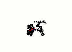 CC1(C)OB(c2cnn(Cc3cccc(O[C@@H]4C[C@@H](OC(=O)NC/C=C(\I)c5cc(NC(c6ccccc6)(c6ccccc6)c6ccccc6)nc6c5nnn6C(c5ccccc5)(c5ccccc5)c5ccccc5)C[C@@H]4Cc4ccccc4)c3)c2)OC1(C)C